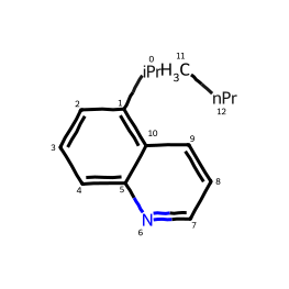 CC(C)c1cccc2ncccc12.CCCC